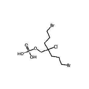 O=P(O)(O)OCC(Cl)(CCCBr)CCCBr